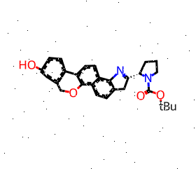 CC(C)(C)OC(=O)N1CCC[C@H]1C1=Nc2c(ccc3c4c(ccc23)-c2ccc(O)cc2CO4)C1